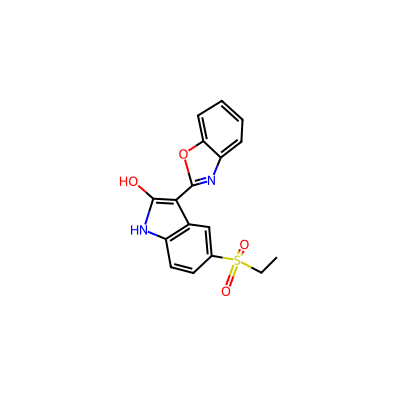 CCS(=O)(=O)c1ccc2[nH]c(O)c(-c3nc4ccccc4o3)c2c1